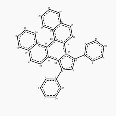 c1ccc(-c2cc(-c3ccccc3)n3c4ccc5ccccc5c4c4c5ccccc5ccc4c23)cc1